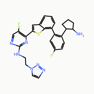 NC1CCCC1c1ccc(F)cc1-c1cccc2cc(-c3nc(NCCn4ccnn4)ncc3F)sc12